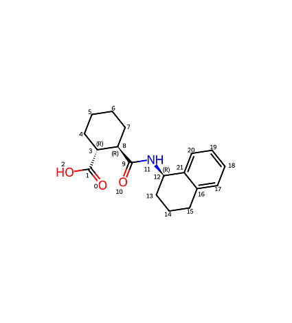 O=C(O)[C@@H]1CCCC[C@H]1C(=O)N[C@@H]1CCCc2ccccc21